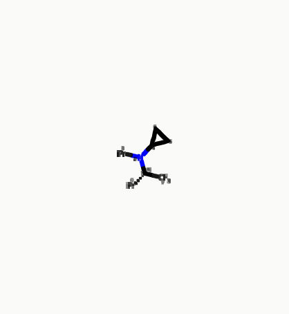 CC(C)[C@H](N(C(C)C)C1CC1)C(F)(F)F